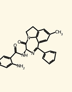 Cc1cc2c3c(c1)C(c1ccccc1)=N[C@@H](NC(=O)c1ccccc1N)C(=O)N3CC2